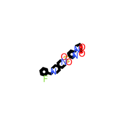 O=C1OCCN1c1ccc(S(=O)(=O)N2CCC3(CCN(Cc4ccccc4F)CC3)CC2)cn1